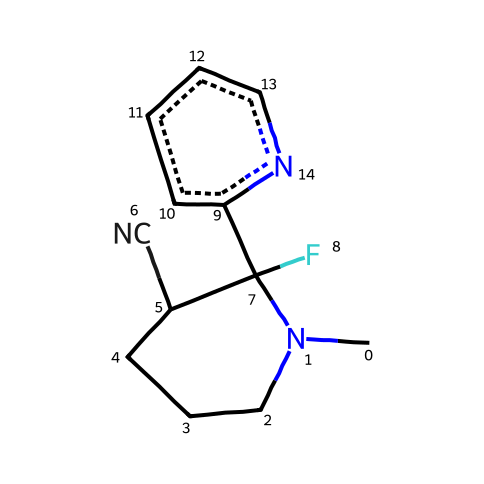 CN1CCCC(C#N)C1(F)c1ccccn1